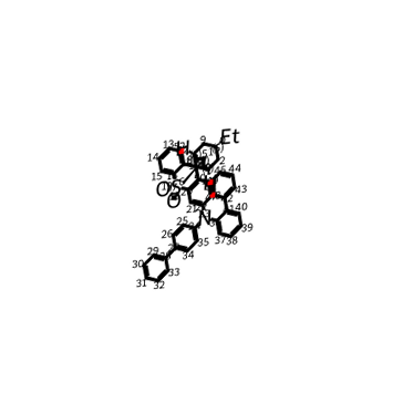 CC[C@@H]1C[C@H]2C[C@H](C)C[C@@H](C1)C21c2ccccc2S(=O)(=O)c2cc(N(c3ccc(-c4ccccc4)cc3)c3ccccc3-c3ccccc3)ccc21